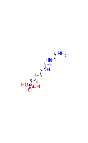 NCCNCCNCCCCCP(=O)(O)O